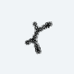 c1ccc(-c2ccc3c(c2)c2cc(-c4ccc(-c5nc6ccccc6o5)cc4)ccc2n3-c2ccc(-c3ccc(-n4c5ccc(-c6ccccc6)cc5c5cc(-c6ccc(-c7nc8ccccc8o7)cc6)ccc54)cc3)cc2)cc1